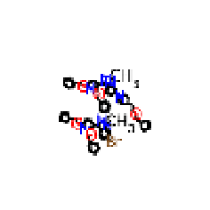 Cn1nc(-c2ccc(OCc3ccccc3)nc2OCc2ccccc2)c2ccc(Br)cc21.Cn1nc(-c2ccc(OCc3ccccc3)nc2OCc2ccccc2)c2ccc(N3CCC(CCOCc4ccccc4)CC3)cc21